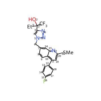 CCC(O)(c1cn(Cc2ccc3c(-c4ccc(F)cc4)cc(SC)nc3c2)nn1)C(F)(F)F